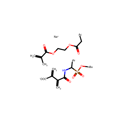 C=C(C(=C)C(=O)NC(C(C)C)S(=O)(=O)OCCCC)C(=O)[O-].C=C(C)C(=O)OCCOC(=O)CC(C)=O.[Na+]